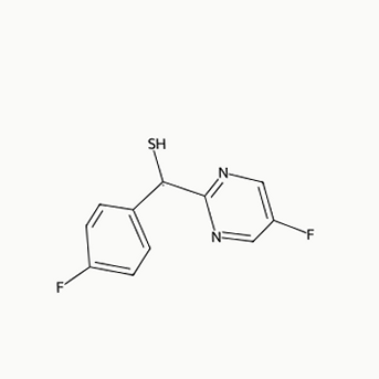 Fc1ccc([C](S)c2ncc(F)cn2)cc1